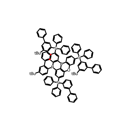 CC(C)(C)c1cc(-c2ccccc2)cc([Si](c2ccccc2)(c2ccccc2)c2ccc3c(c2)Oc2cc([Si](c4ccccc4)(c4ccccc4)c4cccc(-c5ccccc5)c4)cc4c2B3c2cc([Si](c3ccccc3)(c3ccccc3)c3cc(-c5ccccc5)cc(C(C)(C)C)c3)ccc2N4c2ccc(C(C)(C)C)cc2-c2ccccc2)c1